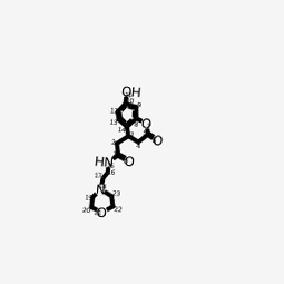 O=C(CC1CC(=O)Oc2cc(O)ccc21)NCCN1CCOCC1